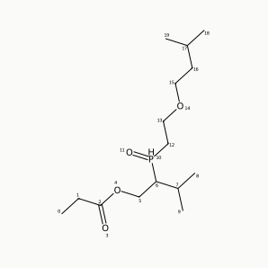 CCC(=O)OCC(C(C)C)[PH](=O)CCOCCC(C)C